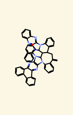 C=C1CC2c3ccccc3N3c4nc5ccccc5nc4N(c4ccccc4)C3C2C2N(c3ccccc3)c3nc4c5ccccc5c5ccccc5c4nc3N2c2ccccc21